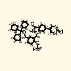 Cn1c(=O)c2ccc(-c3cnc(Cl)nc3)cc2n1Cc1cc(COC(c2ccccc2)(c2ccccc2)c2ccccc2)ccc1OC(F)F